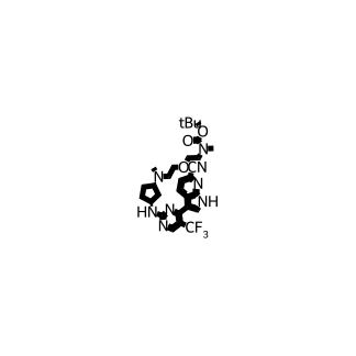 CN(CCOCCN(C)[C@H]1CC[C@H](Nc2ncc(C(F)(F)F)c(-c3c[nH]c4nc(C#N)ccc34)n2)C1)C(=O)OC(C)(C)C